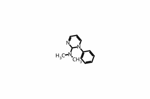 CN(C)C1N=CC=CN1c1ccccc1